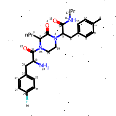 CCCC1C(=O)N(C(Cc2ccc(C)cc2)C(=O)NC(C)C)CCN1C(=O)C(N)Cc1ccc(F)cc1